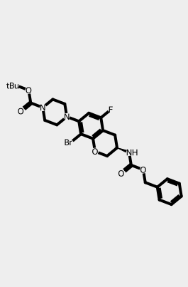 CC(C)(C)OC(=O)N1CCN(c2cc(F)c3c(c2Br)OC[C@H](NC(=O)OCc2ccccc2)C3)CC1